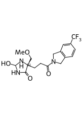 COC[C@]1(CCC(=O)N2Cc3ccc(C(F)(F)F)cc3C2)NC(O)NC1=O